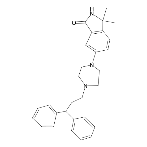 CC1(C)NC(=O)c2cc(N3CCN(CCC(c4ccccc4)c4ccccc4)CC3)ccc21